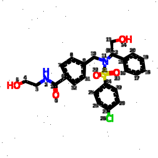 O=C(NCCO)c1ccc(CN([C@@H](CO)c2ccccc2)S(=O)(=O)c2ccc(Cl)cc2)cc1